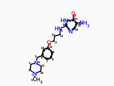 CN1CCN(Cc2cccc(OCCCNc3ncc(N)c(=O)[nH]3)c2)CC1